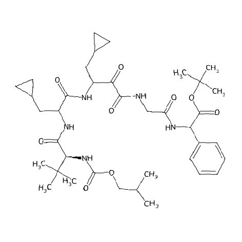 CC(C)COC(=O)N[C@H](C(=O)NC(CC1CC1)C(=O)NC(CC1CC1)C(=O)C(=O)NCC(=O)NC(C(=O)OC(C)(C)C)c1ccccc1)C(C)(C)C